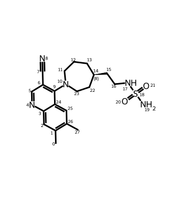 Cc1cc2ncc(C#N)c(N3CCC[C@@H](CCNS(N)(=O)=O)CC3)c2cc1C